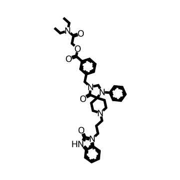 CCN(CC)C(=O)COC(=O)c1cccc(CN2CN(c3ccccc3)C3(CCN(CCCn4c(=O)[nH]c5ccccc54)CC3)C2=O)c1